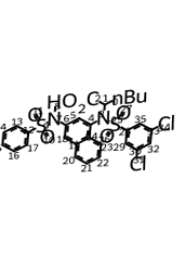 CCCCC(C(=O)O)N(c1cc(N(C)S(=O)(=O)c2ccccc2)cc2ccccc12)S(=O)(=O)c1cc(Cl)cc(Cl)c1